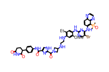 CCc1cc(Nc2ncc(Br)c(Nc3ccc4nccnc4c3P(C)(C)=O)n2)c(OC)cc1NCCNC1CN(C(=O)c2nc(C(=O)Nc3ccc(C4CCC(=O)NC4=O)cc3)c[nH]2)C1